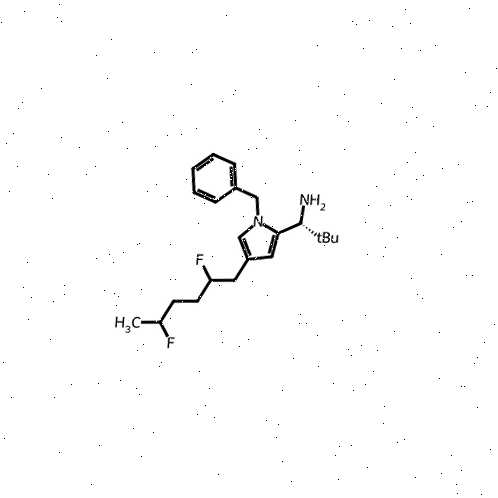 CC(F)CCC(F)Cc1cc([C@H](N)C(C)(C)C)n(Cc2ccccc2)c1